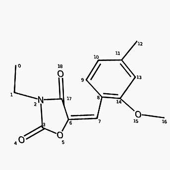 CCN1C(=O)O/C(=C/c2ccc(C)cc2OC)C1=O